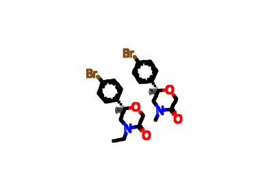 CCN1C[C@H](c2ccc(Br)cc2)OCC1=O.CN1C[C@H](c2ccc(Br)cc2)OCC1=O